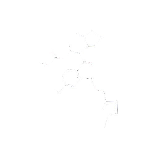 COC(=O)OC(C)N(C(=O)c1ccc(C(F)(F)F)nc1COCc1ncn(C)n1)c1nnnn1C